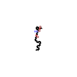 CC/C=C\C/C=C\C/C=C\C/C=C\C/C=C\C/C=C\CCC(=O)OCCCNC(=O)c1ccccc1OC(C)=O